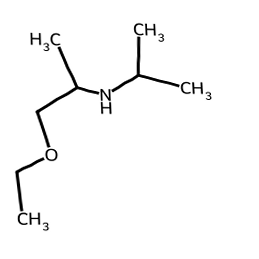 CCOCC(C)NC(C)C